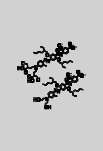 CCCCC(CC)COc1cc(/N=N/c2ccc([N+](=O)[O-])cc2[N+](=O)[O-])c(OCC(CC)CCCC)cc1/N=N/c1ccc(N(CCC(CCl)C(=O)O)CCC(CCl)C(=O)O)cc1C.CCCCC(CC)COc1cc(/N=N/c2ccc([N+](=O)[O-])cc2[N+](=O)[O-])c(OCC(CC)CCCC)cc1/N=N/c1ccc(N(CCO)CCO)cc1C